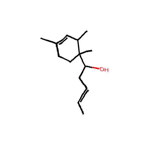 CC=CCC(O)C1(C)CCC(C)=CC1C